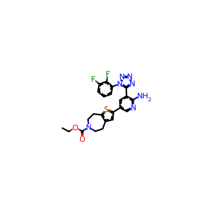 CCOC(=O)N1CCc2cc(-c3cnc(N)c(-c4nnnn4-c4cccc(F)c4F)c3)sc2CC1